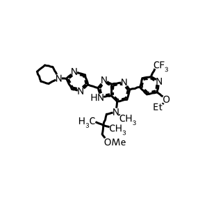 CCOc1cc(-c2cc(N(C)CC(C)(C)COC)c3[nH]c(-c4cnc(N5CCCCC5)cn4)nc3n2)cc(C(F)(F)F)n1